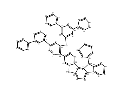 c1ccc(-c2cccc(-c3cnc(-c4ccc5c(c4)sc4ccc6c7ccccc7n(-c7ccccc7)c6c45)c(Cc4nc(-c5ccccc5)nc(-c5ccccc5)n4)c3)c2)cc1